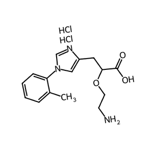 Cc1ccccc1-n1cnc(CC(OCCN)C(=O)O)c1.Cl.Cl